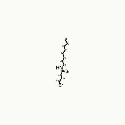 CCCCCCCCNC(=O)CCCBr